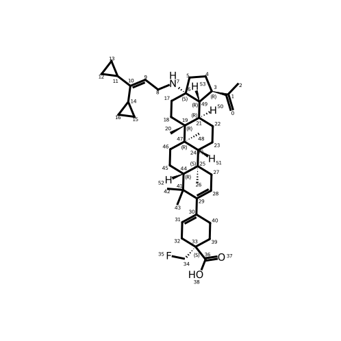 C=C(C)[C@@H]1CC[C@]2(NCC=C(C3CC3)C3CC3)CC[C@]3(C)[C@H](CC[C@@H]4[C@@]5(C)CC=C(C6=CC[C@](CF)(C(=O)O)CC6)C(C)(C)[C@@H]5CC[C@]43C)[C@@H]12